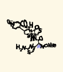 CO/N=C(\C(=O)N[C@@]1(C=S)C(=O)N2C(C(=O)O)=C(c3cc[n+]([O-])cc3)CS[C@@H]21)c1csc(N)n1